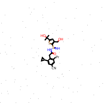 CC(C)c1cc(C#N)cc(C2CC2)c1CC(=O)N[S@@](=N)c1sc(C(C)(C)O)cc1CO